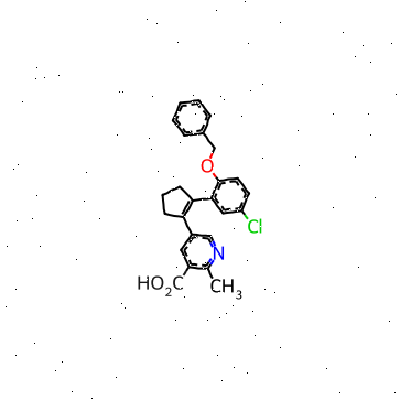 Cc1ncc(C2=C(c3cc(Cl)ccc3OCc3ccccc3)CCC2)cc1C(=O)O